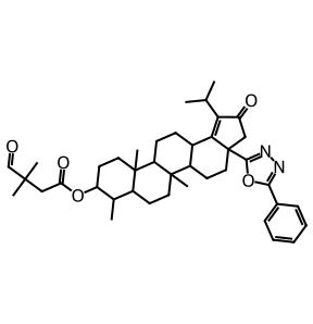 CC(C)C1=C2C3CCC4C(C)(CCC5C(C)C(OC(=O)CC(C)(C)C=O)CCC54C)C3CCC2(c2nnc(-c3ccccc3)o2)CC1=O